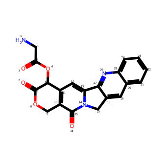 NCC(=O)OC1C(=O)OCc2c1cc1n(c2=O)Cc2cc3ccccc3nc2-1